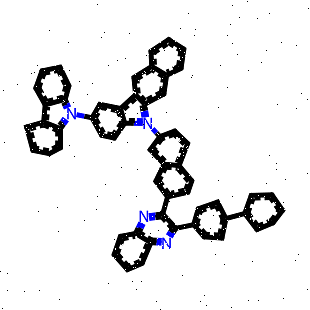 c1ccc(-c2ccc(-c3nc4ccccc4nc3-c3ccc4ccc(-n5c6ccc(-n7c8ccccc8c8ccccc87)cc6c6cc7ccccc7cc65)cc4c3)cc2)cc1